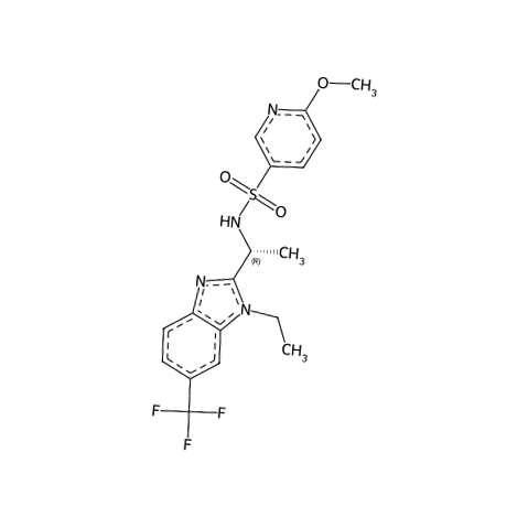 CCn1c([C@@H](C)NS(=O)(=O)c2ccc(OC)nc2)nc2ccc(C(F)(F)F)cc21